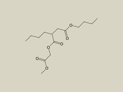 CCCCOC(=O)CC(CCCC)C(=O)OCC(=O)OC